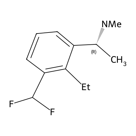 CCc1c(C(F)F)cccc1[C@@H](C)NC